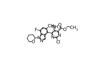 CCOC(=O)c1nc(Cl)nc(-c2c(C)cc(F)c3c2cnn3C2CCCCO2)c1N